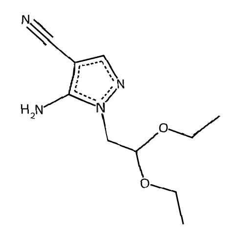 CCOC(Cn1ncc(C#N)c1N)OCC